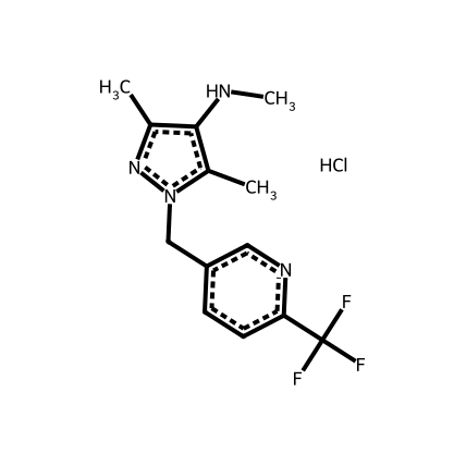 CNc1c(C)nn(Cc2ccc(C(F)(F)F)nc2)c1C.Cl